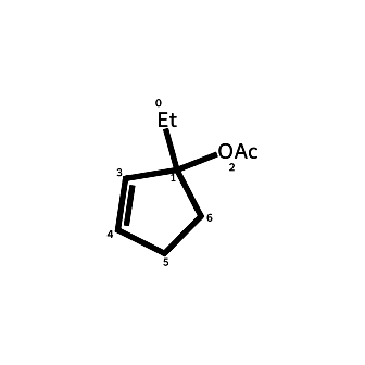 CCC1(OC(C)=O)C=CCC1